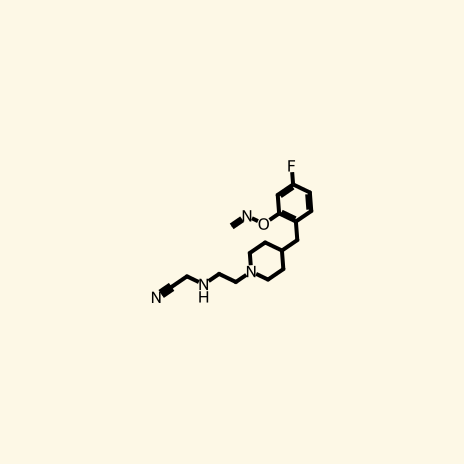 C=NOc1cc(F)ccc1CC1CCN(CCNCC#N)CC1